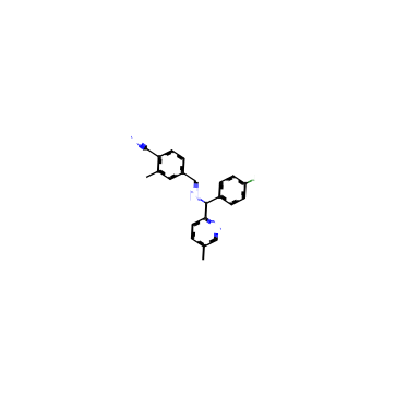 Cc1ccc(C(/N=C/c2ccc(C#N)c(C)c2)c2ccc(Cl)cc2)nc1